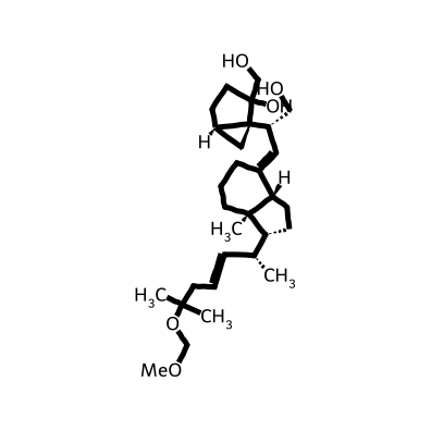 COCOC(C)(C)C/C=C/[C@@H](C)[C@H]1CC[C@H]2/C(=C/[C@@H](CO)[C@]34C[C@H]3CCC4(O)CO)CCC[C@]12C